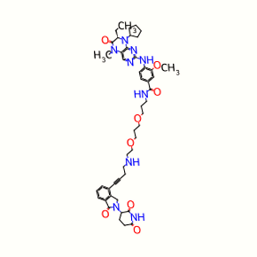 CC[C@@H]1C(=O)N(C)c2cnc(Nc3ccc(C(=O)NCCCOCCCOCCNCCC#Cc4cccc5c4CN(C4CCC(=O)NC4=O)C5=O)cc3OC)nc2N1C1CCCC1